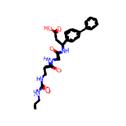 CCCNC(=O)NCCC(=O)NCC(=O)NC(CC(=O)O)c1ccc(-c2ccccc2)cc1